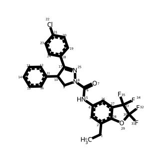 CCc1cc(NC(=O)N2CC(c3ccccc3)C(c3ccc(Cl)cc3)=N2)cc2c1OC(F)(F)C2(F)F